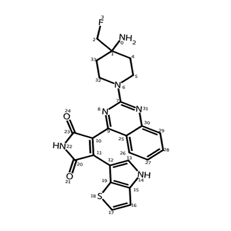 NC1(CF)CCN(c2nc(C3=C(c4c[nH]c5ccsc45)C(=O)NC3=O)c3ccccc3n2)CC1